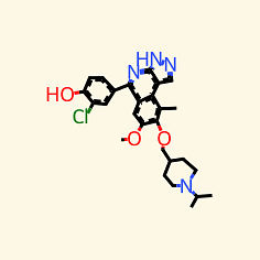 COc1cc2c(-c3ccc(O)c(Cl)c3)nc3[nH]ncc3c2c(C)c1OCC1CCN(C(C)C)CC1